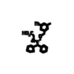 CCc1cc(C)cc(COC[C@H](C(c2ccccc2)c2ccccc2)N(C)CC(=O)O)c1